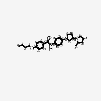 CCCCOc1ccc(C(=O)Nc2ccc(N3CCC(N4CCCC4C)C3)cc2)cc1